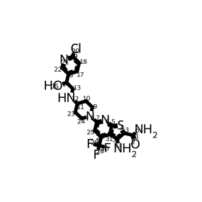 NC(=O)c1sc2nc(N3CCC(NCC(O)c4ccc(Cl)nc4)CC3)cc(C(F)(F)F)c2c1N